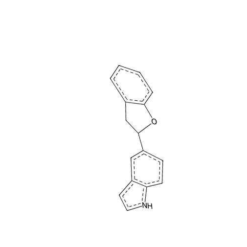 c1ccc2c(c1)CC(c1ccc3[nH]ccc3c1)O2